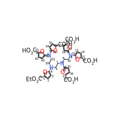 CCOC(=O)c1ccc(N(CCN(CCN(c2ccc(C(=O)O)o2)c2ccc(C(=O)O)o2)c2ccc(C(=O)O)o2)CCN(c2ccc(C(=O)O)o2)c2ccc(C(=O)O)o2)o1